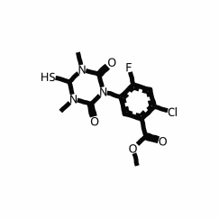 COC(=O)c1cc(N2C(=O)N(C)C(S)N(C)C2=O)c(F)cc1Cl